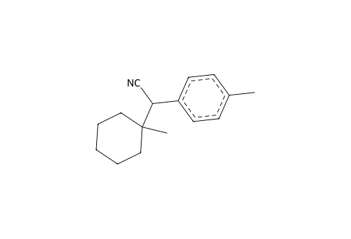 Cc1ccc(C(C#N)C2(C)CCCCC2)cc1